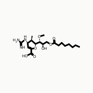 CCCCCCCC(=O)OC[C@@H](O)[C@@H](OC)[C@@H]1OC(C(=O)O)=C[C@H](NC(=N)N)[C@H]1C